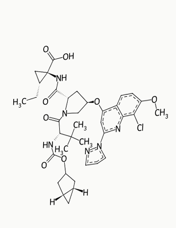 CC[C@@H]1C[C@]1(NC(=O)[C@@H]1C[C@@H](Oc2cc(-n3cccn3)nc3c(Cl)c(OC)ccc23)CN1C(=O)[C@@H](NC(=O)OC1C[C@@H]2C[C@@H]2C1)C(C)(C)C)C(=O)O